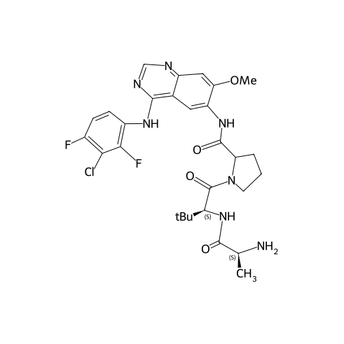 COc1cc2ncnc(Nc3ccc(F)c(Cl)c3F)c2cc1NC(=O)C1CCCN1C(=O)[C@@H](NC(=O)[C@H](C)N)C(C)(C)C